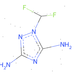 Nc1nc(N)n(C(F)F)n1